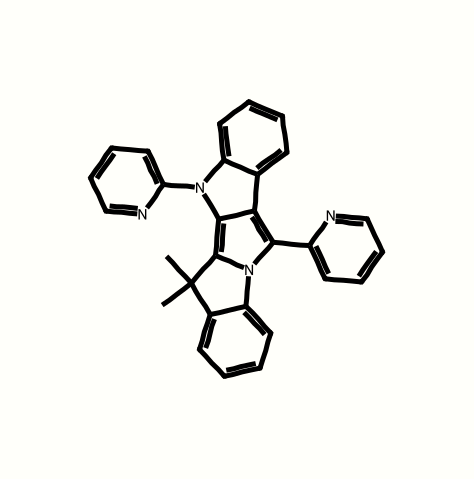 CC1(C)c2ccccc2-n2c(-c3ccccn3)c3c4ccccc4n(-c4ccccn4)c3c21